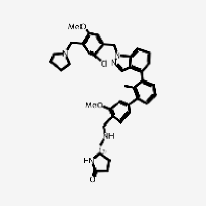 COc1cc(-c2cccc(-c3cccc4c3cnn4Cc3cc(OC)c(CN4CCCC4)cc3Cl)c2C)ccc1CNC[C@@H]1CCC(=O)N1